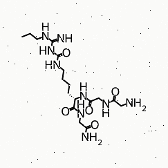 CCCNC(=N)NC(=O)NCCCC[C@H](NC(=O)CNC(=O)CN)C(=O)NCC(N)=O